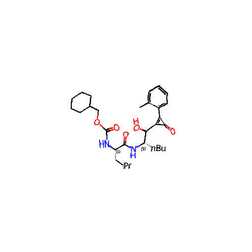 CCCC[C@H](NC(=O)[C@H](CC(C)C)NC(=O)OCC1CCCCC1)C(O)c1c(-c2ccccc2C)c1=O